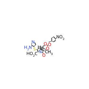 CC(C)(OC(=O)OCc1ccc([N+](=O)[O-])cc1)[C@@H]1C(=O)N2C(C(=O)O)=C(Sc3ccncc3N)C[C@H]12